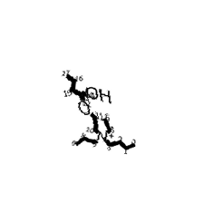 CCCC[N+](CC)(CCC)CCOC(O)CCC